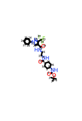 CC(C)(C)OC(=O)N[C@H]1CC[C@H](C(=O)NCCNC(=O)c2cn(-c3ccccc3)nc2C(F)(F)F)CC1